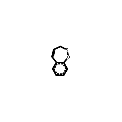 C1=Cc2ccccc2OSC1